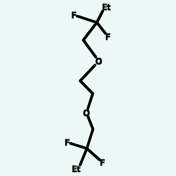 CCC(F)(F)COCCOCC(F)(F)CC